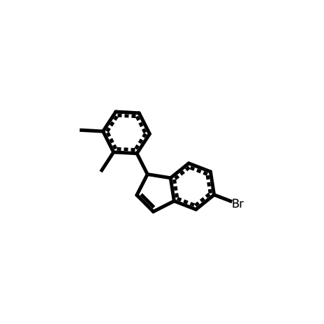 Cc1cccc(C2C=Cc3cc(Br)ccc32)c1C